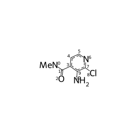 CNC(=O)c1ccnc(Cl)c1N